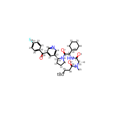 C[C@@H](C(=O)N[C@H](C(=O)N1CCC[C@H]1c1cncc(C(=O)c2ccc(F)cc2)c1)C1CCCCC1)N(C)C(=O)CCC(C)(C)C